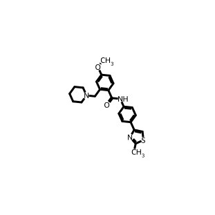 COc1ccc(C(=O)Nc2ccc(-c3csc(C)n3)cc2)c(CN2CCCCC2)c1